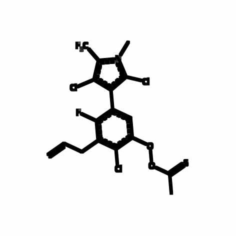 C=CCc1c(F)c(-c2c(Cl)c(C(F)(F)F)n(C)c2Cl)cc(OOC(C)=S)c1Cl